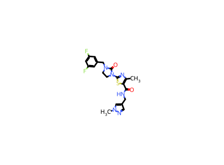 Cc1nc(N2CCN(Cc3cc(F)cc(F)c3)C2=O)sc1C(=O)NCc1cnn(C)c1